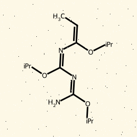 C\C=C(/N=C(\N=C(/N)OC(C)C)OC(C)C)OC(C)C